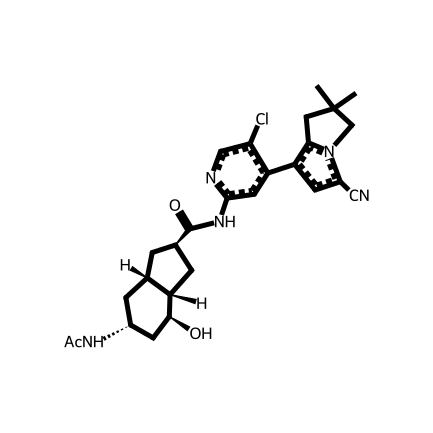 CC(=O)N[C@@H]1C[C@@H]2C[C@@H](C(=O)Nc3cc(-c4cc(C#N)n5c4CC(C)(C)C5)c(Cl)cn3)C[C@@H]2[C@@H](O)C1